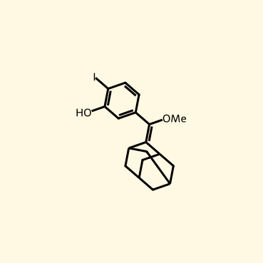 COC(=C1C2CC3CC(C2)CC1C3)c1ccc(I)c(O)c1